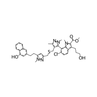 COC(=O)c1c(CCCO)c2ccc(Cl)c(-c3c(CSCc4cc(CCc5cc(O)c6ccccc6c5)n(C)n4)c(C)nn3C)c2n1C